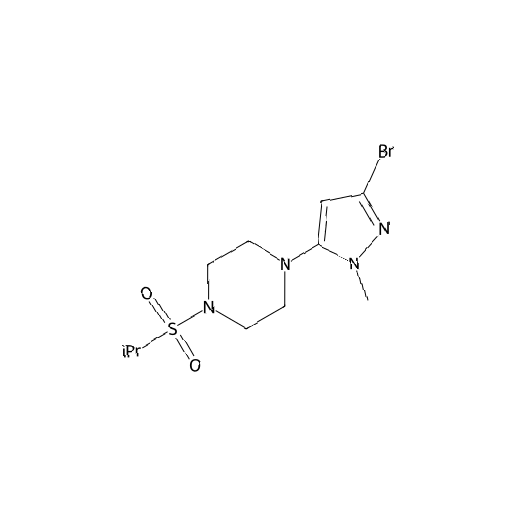 CC(C)S(=O)(=O)N1CCN(c2cc(Br)nn2C)CC1